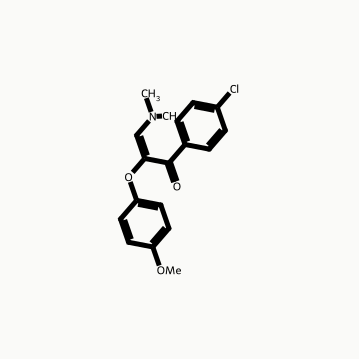 COc1ccc(O/C(=C/N(C)C)C(=O)c2ccc(Cl)cc2)cc1